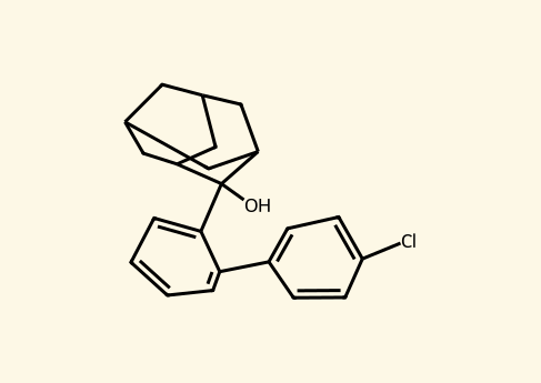 OC1(c2ccccc2-c2ccc(Cl)cc2)C2CC3CC(C2)CC1C3